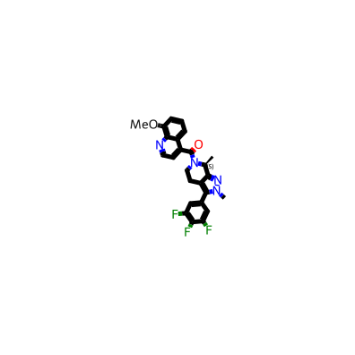 COc1cccc2c(C(=O)N3CCc4c(nn(C)c4-c4cc(F)c(F)c(F)c4)[C@@H]3C)ccnc12